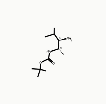 CC(C)[C@@H](N)[C@H](C)NC(=O)OC(C)(C)C